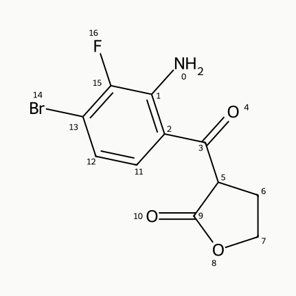 Nc1c(C(=O)C2CCOC2=O)ccc(Br)c1F